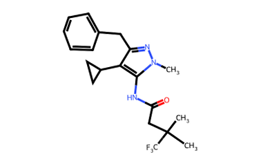 Cn1nc(Cc2ccccc2)c(C2CC2)c1NC(=O)CC(C)(C)C(F)(F)F